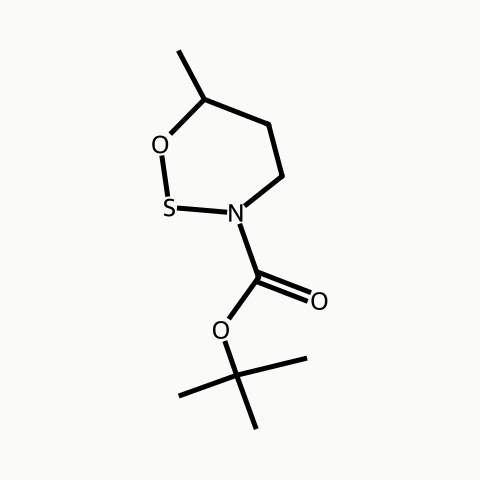 CC1CCN(C(=O)OC(C)(C)C)SO1